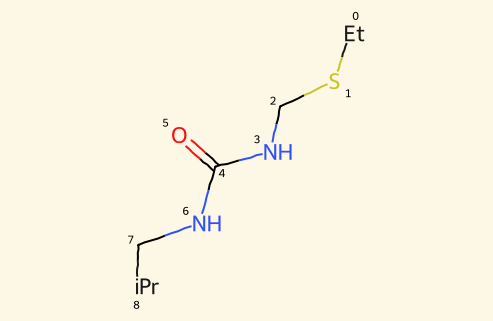 CCSCNC(=O)NCC(C)C